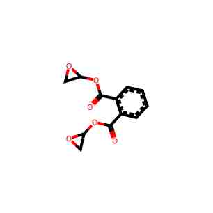 O=C(OC1CO1)c1ccccc1C(=O)OC1CO1